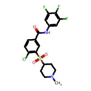 CN1CCC(S(=O)(=O)c2cc(C(=O)Nc3cc(F)c(F)c(F)c3)ccc2Cl)CC1